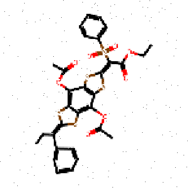 CCOC(=O)C(=C1Sc2c(OC(C)=O)c3c(c(OC(C)=O)c2S1)SC(=C(CC)c1ccccc1)S3)S(=O)(=O)c1ccccc1